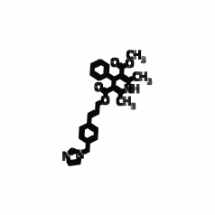 COC(=O)C1=C(C)NC(C)=C(C(=O)OCC=Cc2ccc(Cn3ccnc3)cc2)C1c1ccccc1